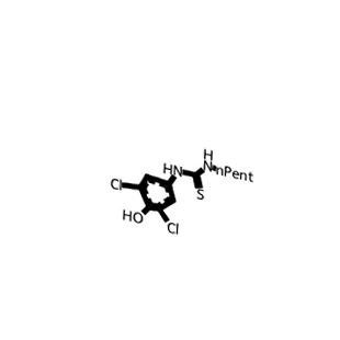 CCCCCNC(=S)Nc1cc(Cl)c(O)c(Cl)c1